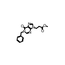 COC(=O)CCn1cnc2c(=O)n(Cc3ccccc3)cnc21